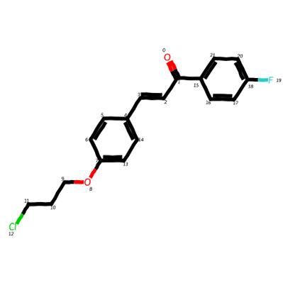 O=C(C=Cc1ccc(OCCCCl)cc1)c1ccc(F)cc1